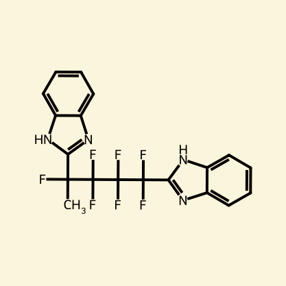 CC(F)(c1nc2ccccc2[nH]1)C(F)(F)C(F)(F)C(F)(F)c1nc2ccccc2[nH]1